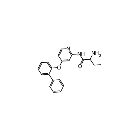 CCC(N)C(=O)Nc1cc(Oc2ccccc2-c2ccccc2)ccn1